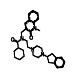 Cn1c(=O)c(CN(CCN2CCN(C3Cc4ccccc4C3)CC2)C(=O)C2CCCCC2)cc2ccccc21